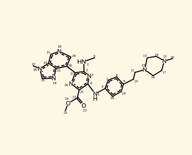 CNc1nc(Nc2ccc(CCN3CCN(C)CC3)cc2)c(C(=O)OC)nc1-c1cncc2c1ncn2C